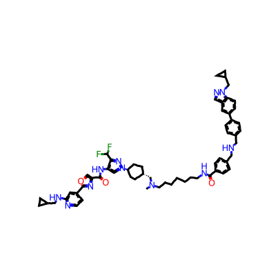 CN(CCCCCCCNC(=O)c1ccc(CNCc2ccc(-c3ccc4c(cnn4CC4CC4)c3)cc2)cc1)C[C@H]1CC[C@H](n2cc(NC(=O)c3coc(-c4ccnc(NCC5CC5)c4)n3)c(C(F)F)n2)CC1